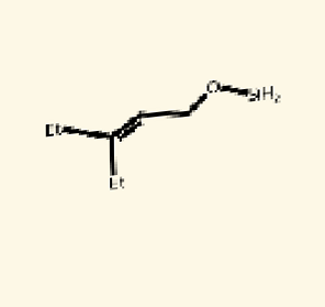 CCC(=CCO[SiH3])CC